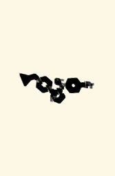 CC(C)c1ccc([S+]([O-])N2CCN=C2N2CCN(CC3CC3)CC2)cc1